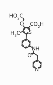 Cc1c(-c2cccc(NC(=O)Cc3ccncc3)c2)sc(C(=O)O)c1OCC(=O)O